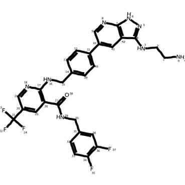 NCCNc1n[nH]c2ncc(-c3ccc(CNc4ncc(C(F)(F)F)cc4C(=O)NCc4ccc(F)c(F)c4)cc3)cc12